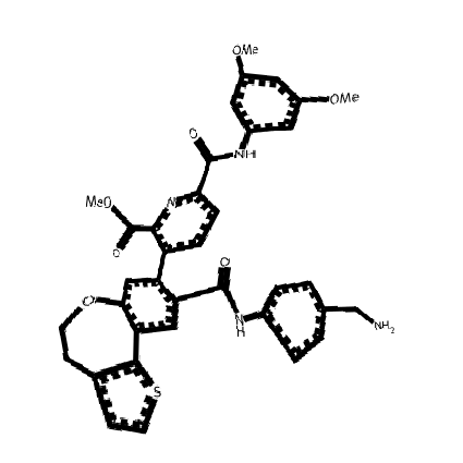 COC(=O)c1nc(C(=O)Nc2cc(OC)cc(OC)c2)ccc1-c1cc2c(cc1C(=O)Nc1ccc(CN)cc1)-c1sccc1CCO2